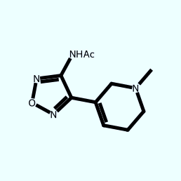 CC(=O)Nc1nonc1C1=CCCN(C)C1